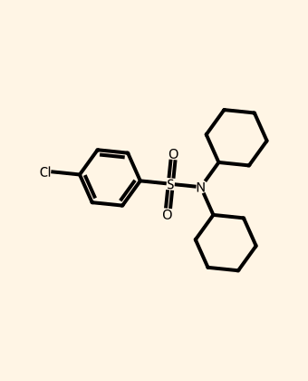 O=S(=O)(c1ccc(Cl)cc1)N(C1CCCCC1)C1CCCCC1